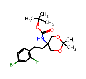 CC(C)(C)OC(=O)NC1(CCc2ccc(Br)cc2F)COC(C)(C)OC1